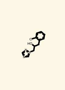 OC(Cc1ccccc1Cl)Cn1cncn1